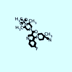 CC1CN(C(=O)c2cnc3ccc(F)cc3c2N2CCC(C)(C#N)CC2)CC(C)N1S(C)(=O)=O